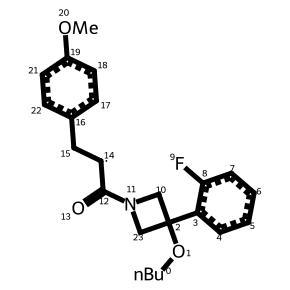 CCCCOC1(c2ccccc2F)CN(C(=O)[CH]Cc2ccc(OC)cc2)C1